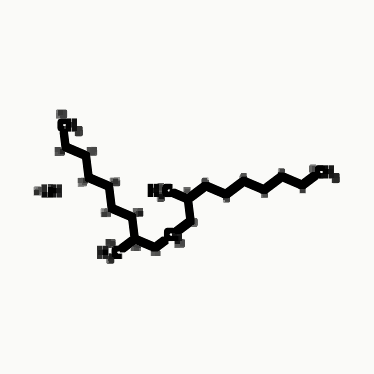 CCCCCCCC(C)[CH2][Cu][CH2]C(C)CCCCCCC.[LiH]